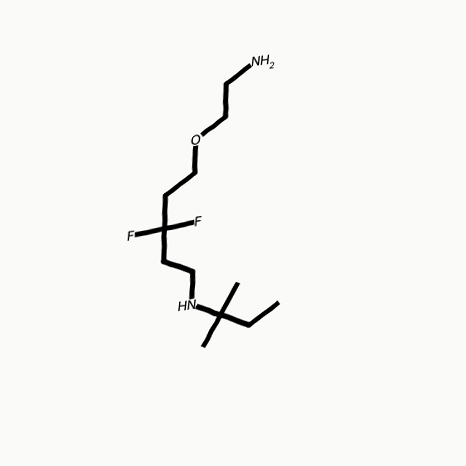 CCC(C)(C)NCCC(F)(F)CCOCCN